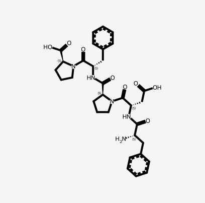 N[C@@H](Cc1ccccc1)C(=O)N[C@@H](CC(=O)O)C(=O)N1CCC[C@H]1C(=O)N[C@@H](Cc1ccccc1)C(=O)N1CCC[C@H]1C(=O)O